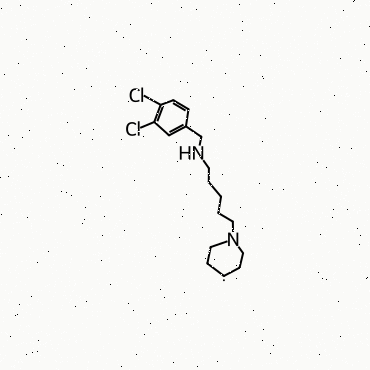 Clc1ccc(CNCCCCCN2CC[CH]CC2)cc1Cl